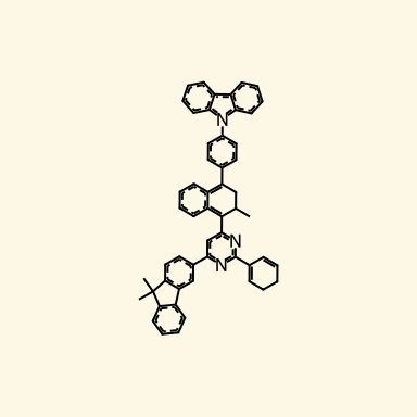 CC1CC(c2ccc(-n3c4ccccc4c4ccccc43)cc2)=c2ccccc2=C1c1cc(-c2ccc3c(c2)-c2ccccc2C3(C)C)nc(C2=CCCC=C2)n1